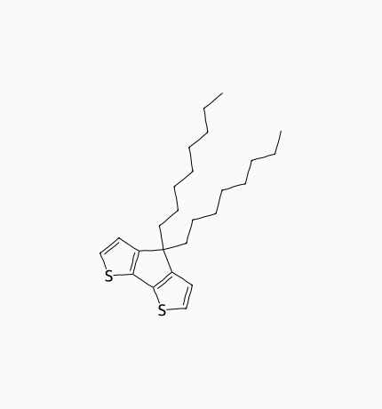 CCCCCCCCC1(CCCCCCCC)c2ccsc2-c2sccc21